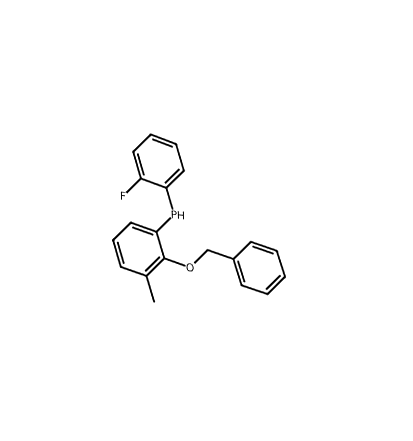 Cc1cccc(Pc2ccccc2F)c1OCc1ccccc1